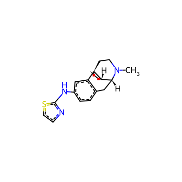 CN1CC[C@]23CCCC[C@H]2[C@H]1Cc1ccc(Nc2nccs2)cc13